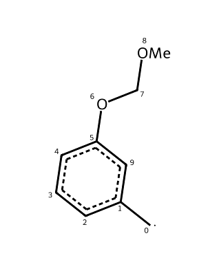 [CH2]c1cccc(OCOC)c1